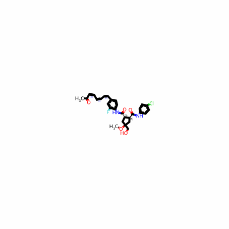 COC1(CO)C[C@H](C(=O)Nc2ccc(Cl)cc2)[C@@H](C(=O)Nc2ccc(\C=C/C=C\C=C/C(C)=O)cc2F)C1